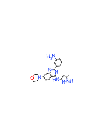 Cc1cc(Nc2nc(-c3cccc(N)c3)nc3cc(N4CCOCC4)ccc23)n[nH]1